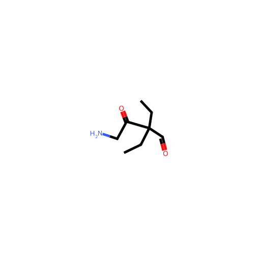 CCC(C=O)(CC)C(=O)CN